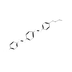 CCCCc1ccc(/N=N/c2ccc(/N=N/c3ccc(O)cc3)cc2)cc1